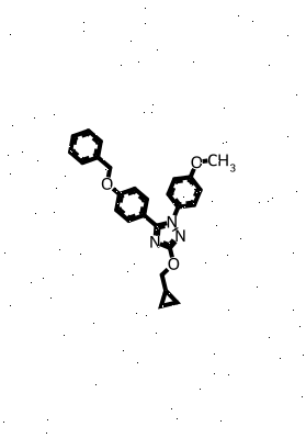 COc1ccc(-n2nc(OCC3CC3)nc2-c2ccc(OCc3ccccc3)cc2)cc1